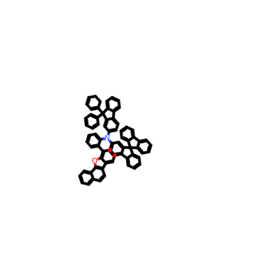 C1=CCCC(C2(c3ccccc3)c3ccccc3-c3ccc(N(c4ccc5c(c4)C4(c6ccccc6-c6ccccc64)c4ccccc4-5)c4ccccc4-c4cccc5c4oc4c6ccccc6ccc54)cc32)=C1